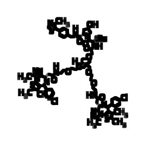 Cc1ncsc1-c1ccc(CNC(=O)[C@@H]2C[C@@H](O)CN2C(=O)[C@@H](NC(=O)COCC(C)(COCCOCCNC(=O)C[C@@H]2N=C(c3ccc(Cl)cc3)c3c(sc(C)c3C)-n3c(C)nnc32)COCCOCCNC(=O)C[C@@H]2N=C(c3ccc(Cl)cc3)c3c(sc(C)c3C)-n3c(C)nnc32)C(C)(C)C)cc1